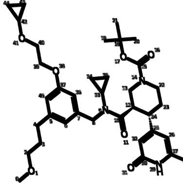 COCCCc1cc(CN(C(=O)[C@H]2CN(C(=O)OC(C)(C)C)CC[C@@H]2c2cc(C)[nH]c(=O)c2)C2CC2)cc(OCCOC2CC2)c1